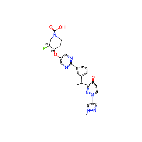 CC(c1cccc(-c2ncc(O[C@@H]3CCN(C(=O)O)C[C@@H]3F)cn2)c1)c1nn(-c2cnn(C)c2)ccc1=O